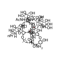 CCCC(=O)NC1C(O)[C@H](O)C(CO)O[C@H]1Oc1c2cc3cc1OC1=C(C)C=C(CC1C)C[C@H]1NC(=O)[C@H](N)c4ccc(O)c(c4)Oc4cc(O)cc(c4)[C@H](NC1=O)C(=O)N[C@H]3C(=O)N[C@H]1C(=O)N[C@H](C(=O)N[C@H](C(=O)O)C3=CC(O)CC(O[C@H]4OC(CO)[C@@H](O)C(O)C4O)=C3C3CC1=CC=C3CO)[C@H](O[C@@H]1OC(CO)[C@@H](O)C(O)C1NC(C)=O)C1=CC=C(O2)[C@@H](Cl)C1